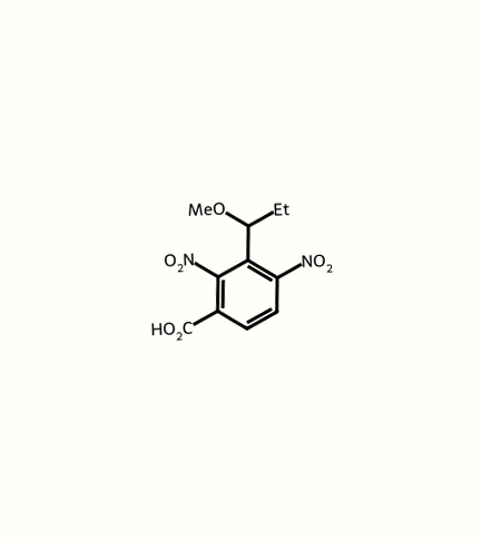 CCC(OC)c1c([N+](=O)[O-])ccc(C(=O)O)c1[N+](=O)[O-]